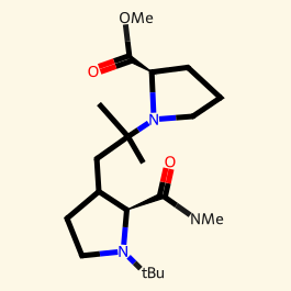 CNC(=O)[C@@H]1C(CC(C)(C)N2CCC[C@@H]2C(=O)OC)CCN1C(C)(C)C